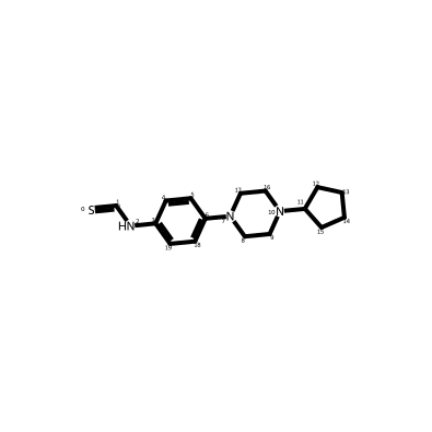 S=[C]Nc1ccc(N2CCN(C3CCCC3)CC2)cc1